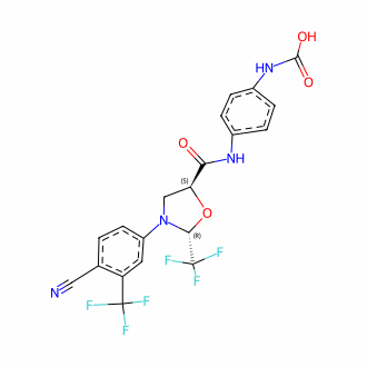 N#Cc1ccc(N2C[C@@H](C(=O)Nc3ccc(NC(=O)O)cc3)O[C@@H]2C(F)(F)F)cc1C(F)(F)F